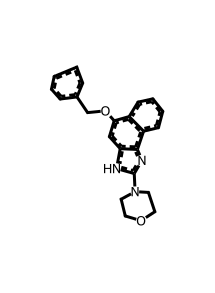 c1ccc(COc2cc3[nH]c(N4CCOCC4)nc3c3ccccc23)cc1